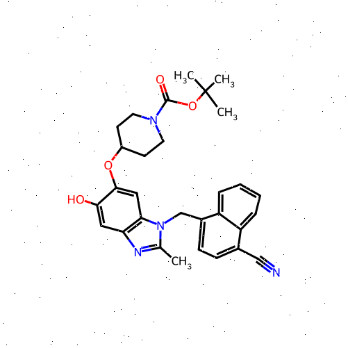 Cc1nc2cc(O)c(OC3CCN(C(=O)OC(C)(C)C)CC3)cc2n1Cc1ccc(C#N)c2ccccc12